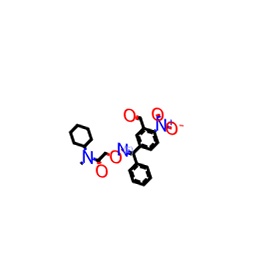 CN(C(=O)CO/N=C(\c1ccccc1)c1ccc([N+](=O)[O-])c(C=O)c1)C1CCCCC1